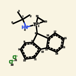 CC(C)(C)[NH][Ti+2]1([CH]2c3ccccc3-c3ccccc32)[CH2][CH2]1.[Cl-].[Cl-]